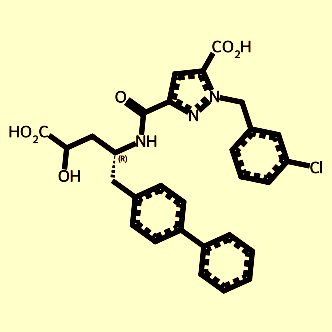 O=C(N[C@H](Cc1ccc(-c2ccccc2)cc1)CC(O)C(=O)O)c1cc(C(=O)O)n(Cc2cccc(Cl)c2)n1